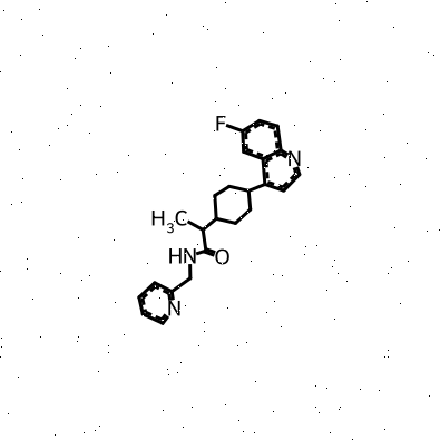 CC(C(=O)NCc1ccccn1)C1CCC(c2ccnc3ccc(F)cc23)CC1